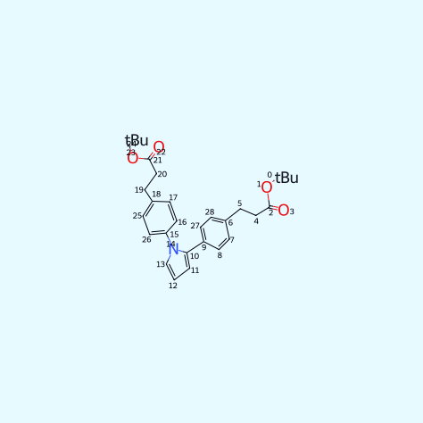 CC(C)(C)OC(=O)CCc1ccc(-c2cccn2-c2ccc(CCC(=O)OC(C)(C)C)cc2)cc1